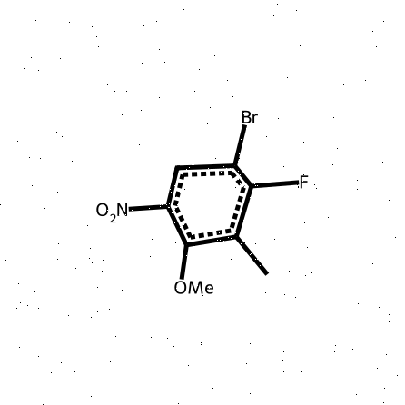 COc1c([N+](=O)[O-])cc(Br)c(F)c1C